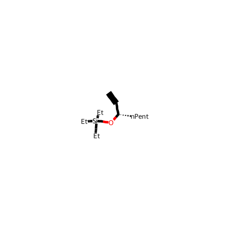 C#C[C@H](CCCCC)O[Si](CC)(CC)CC